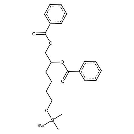 CC(C)(C)[Si](C)(C)OCCCCC(COC(=O)c1ccccc1)OC(=O)c1ccccc1